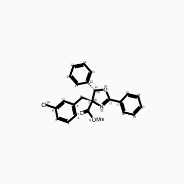 COC(=O)[C@@]1(Cc2cccc(Cl)c2)N=C(c2ccccc2)O[C@H]1c1ccccc1